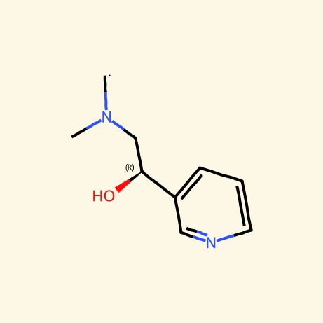 [CH2]N(C)C[C@H](O)c1cccnc1